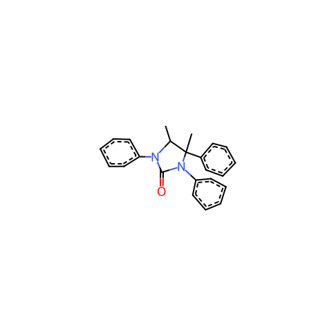 CC1N(c2ccccc2)C(=O)N(c2ccccc2)C1(C)c1ccccc1